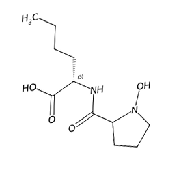 CCCC[C@H](NC(=O)C1CCCN1O)C(=O)O